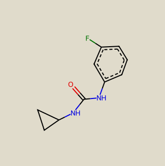 O=C(Nc1cccc(F)c1)NC1CC1